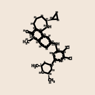 C[C@@H]1CN(c2nc(Cl)c(Cl)c(Nc3ccc4c(c3)c3c(c(=O)n4C)CCC[C@H](C4CC4)N3)n2)C[C@H](C)O1